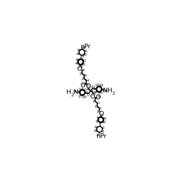 CCC[C@H]1CC[C@H](c2ccc(OCCCCCC(=O)OCC(COC(=O)CCCCCOc3ccc([C@H]4CC[C@H](CCC)CC4)cc3)(Cc3ccc(N)cc3)Cc3ccc(N)cc3)cc2)CC1